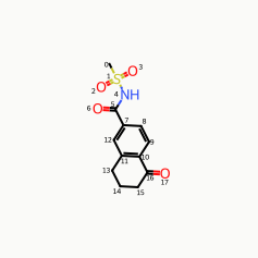 CS(=O)(=O)NC(=O)c1ccc2c(c1)CCCC2=O